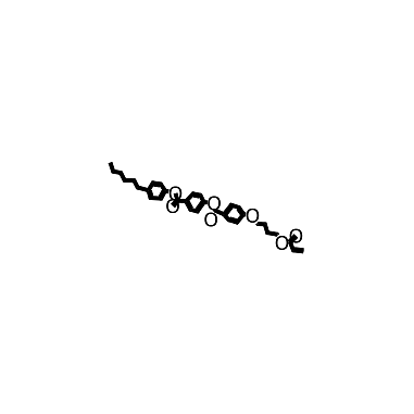 C=CC(=O)OCCCCOc1ccc(C(=O)Oc2ccc(C(=O)Oc3ccc(CCCCCC)cc3)cc2)cc1